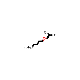 CCCCCCCCCCOC=C(CC)CC